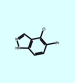 CC(C)c1ccc2[nH]ncc2c1Cl